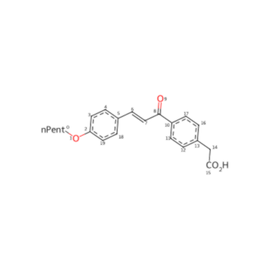 CCCCCOc1ccc(C=CC(=O)c2ccc(CC(=O)O)cc2)cc1